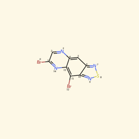 Brc1cnc2cc3nsnc3c(Br)c2n1